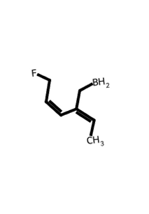 BCC(/C=C\CF)=C/C